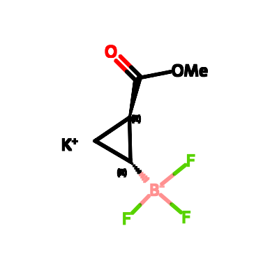 COC(=O)[C@@H]1C[C@H]1[B-](F)(F)F.[K+]